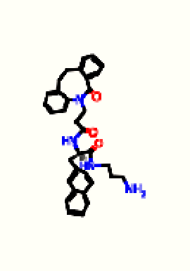 NCCCNC(=O)[C@@H](Cc1ccc2ccccc2c1)NC(=O)CCN1C(=O)c2ccccc2CCc2ccccc21